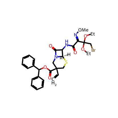 C=CC1(C(=O)OC(c2ccccc2)c2ccccc2)CS[C@@H]2C(NC(=O)C(=NOC)C(CBr)(OCC)OCC)C(=O)N2C1